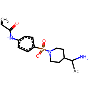 C=CC(=O)Nc1ccc(S(=O)(=O)N2CCC(C(N)C(C)=O)CC2)cc1